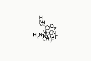 CN1C(=O)C(c2cc(OC3CC3)cc(-c3cc[nH]n3)c2)(c2ccnc(C(F)F)c2)N=C1N